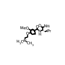 COc1cc(C(=O)N[C@@H](CC(C)C)C([NH])=O)ccc1OCCN(C)C